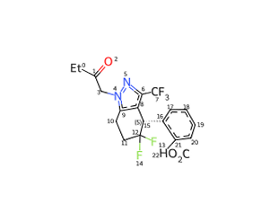 CCC(=O)Cn1nc(C(F)(F)F)c2c1CCC(F)(F)[C@H]2c1ccccc1C(=O)O